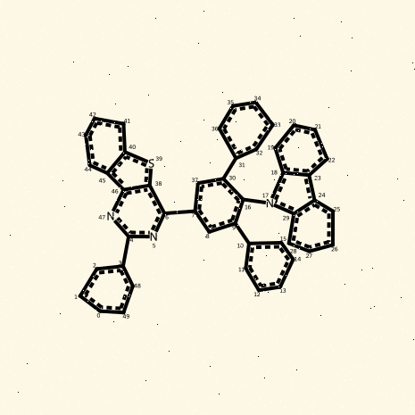 c1ccc(-c2nc(-c3cc(-c4ccccc4)c(-n4c5ccccc5c5ccccc54)c(-c4ccccc4)c3)c3sc4ccccc4c3n2)cc1